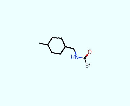 CCC(=O)NCC1CCC(C)CC1